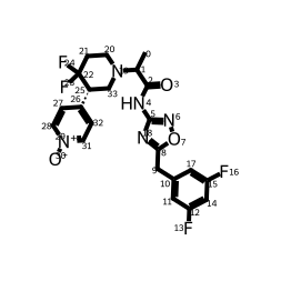 CC(C(=O)Nc1noc(Cc2cc(F)cc(F)c2)n1)N1CCC(F)(F)[C@@H](c2cc[n+]([O-])cc2)C1